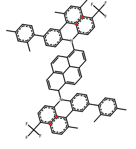 Cc1ccc(-c2ccc(N(C3=C4C=CC5=C6C(=CC=C(C=C3)C46)C(N(c3ccc(C(F)(F)F)cc3)c3ccc(-c4ccc(C)cc4C)cc3-c3ccccc3C)C=C5)c3ccc(C(F)(F)F)cc3)c(-c3ccc(C)cc3C)c2)c(C)c1